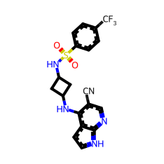 N#Cc1cnc2[nH]ccc2c1NC1CC(NS(=O)(=O)c2ccc(C(F)(F)F)cc2)C1